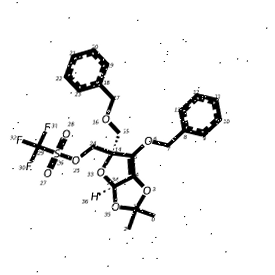 CC1(C)OC2=C(OCc3ccccc3)[C@](COCc3ccccc3)(COS(=O)(=O)C(F)(F)F)O[C@@H]2O1